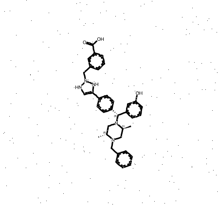 C[C@@H]1CN([C@H](c2ccc(C3=CNN(Cc4cccc(C(=O)O)c4)N3)cc2)c2cccc(O)c2)[C@@H](C)CN1Cc1ccccc1